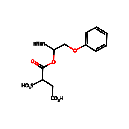 CCCCCCCCCC(COc1ccccc1)OC(=O)C(CC(=O)O)S(=O)(=O)O